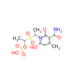 Cc1cc(O)n(C(C)S(=O)(=O)C(C)OS(=O)(=O)O)c(=O)c1C(N)=O